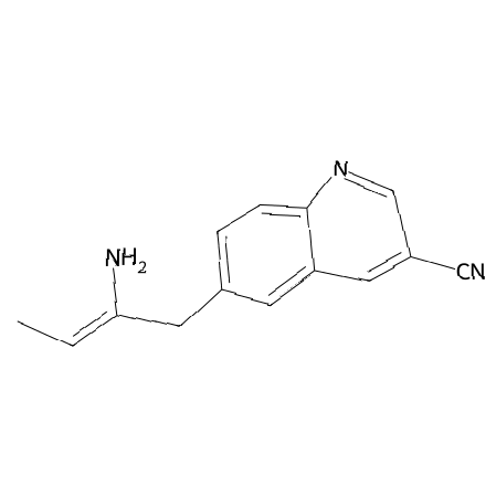 C/C=C(\N)Cc1ccc2ncc(C#N)cc2c1